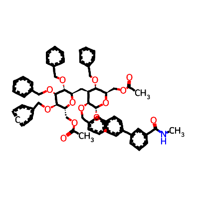 CNC(=O)c1cccc(-c2ccc(O[C@H]3O[C@H](COC(C)=O)[C@@H](OCc4ccccc4)[C@H](C[C@H]4O[C@H](COC(C)=O)[C@@H](OCc5ccccc5)[C@H](OCc5ccccc5)[C@@H]4OCc4ccccc4)[C@@H]3OCc3ccccc3)cc2)c1